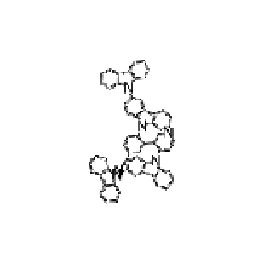 N#Cc1ccc(-n2c3ccccc3c3cc(-n4c5ccccc5c5ccccc54)ccc32)c(-c2cnccc2-n2c3ccccc3c3cc(-n4c5ccccc5c5ccccc54)ccc32)c1